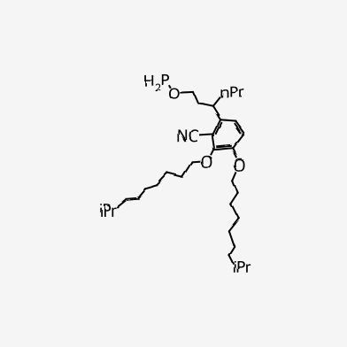 CCCC(CCOP)c1ccc(OCCCCCCCC(C)C)c(OCCCCCCCC(C)C)c1C#N